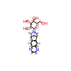 OCC1OC(N2CC3CC(C2)c2cc4nccnc4cc23)C(O)C(O)C1O